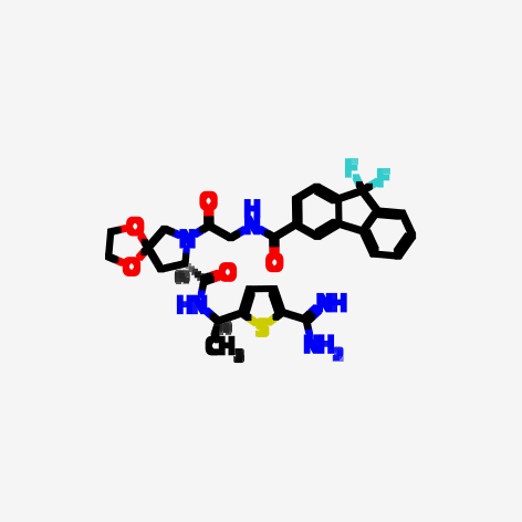 C[C@@H](NC(=O)[C@@H]1CC2(CN1C(=O)CNC(=O)c1ccc3c(c1)-c1ccccc1C3(F)F)OCCO2)c1ccc(C(=N)N)s1